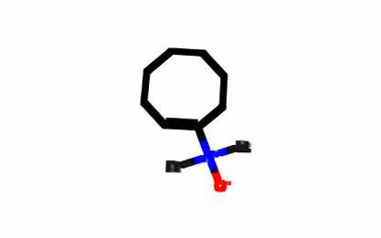 CC[N+]([O-])(CC)C1=CCCCCCC1